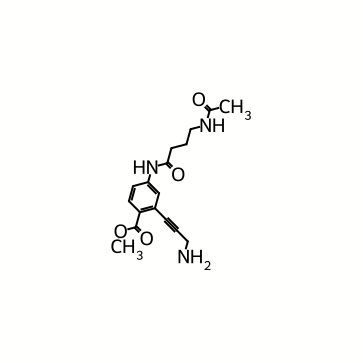 COC(=O)c1ccc(NC(=O)CCCNC(C)=O)cc1C#CCN